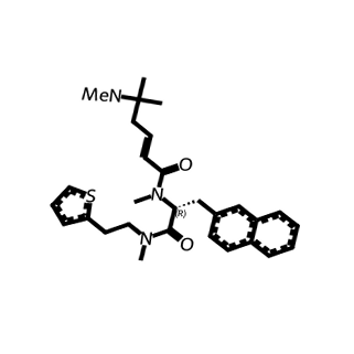 CNC(C)(C)CC=CC(=O)N(C)[C@H](Cc1ccc2ccccc2c1)C(=O)N(C)CCc1cccs1